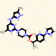 Cc1cc(Nc2cc(C)[nH]n2)nc(N2CCN(C(=O)O[C@H](C)c3ccc(-n4cccn4)nc3)CC2)n1